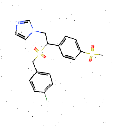 CS(=O)(=O)c1ccc(C(Cn2ccnc2)S(=O)(=O)Cc2ccc(Cl)cc2)cc1